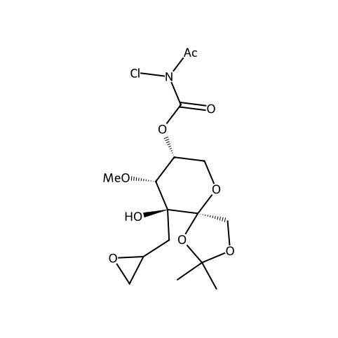 CO[C@@H]1[C@H](OC(=O)N(Cl)C(C)=O)CO[C@]2(COC(C)(C)O2)[C@]1(O)CC1CO1